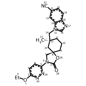 CCOc1ccc(N2C[C@@]3(CCC[C@](C)(Cn4cnc5ccc(C#N)cc54)C3)OC2=O)nn1